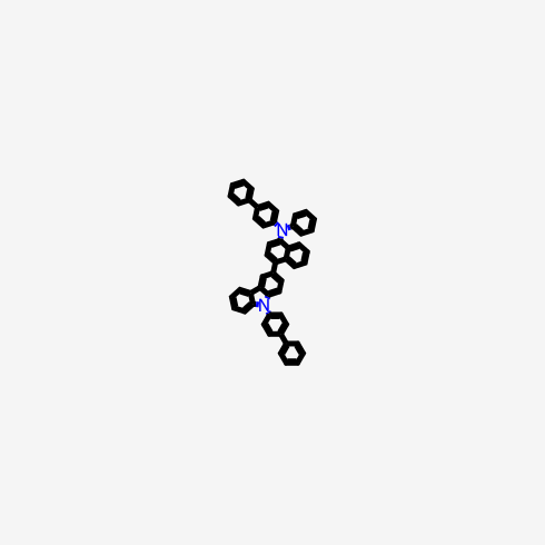 c1ccc(-c2ccc(N(c3ccccc3)c3ccc(-c4ccc5c(c4)c4ccccc4n5-c4ccc(-c5ccccc5)cc4)c4ccccc34)cc2)cc1